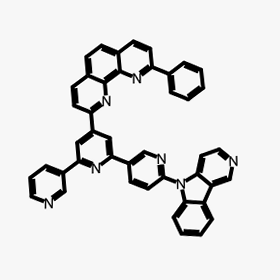 c1ccc(-c2ccc3ccc4ccc(-c5cc(-c6cccnc6)nc(-c6ccc(-n7c8ccccc8c8cnccc87)nc6)c5)nc4c3n2)cc1